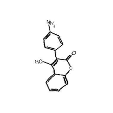 Nc1ccc(-c2c(O)c3ccccc3oc2=O)cc1